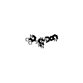 Clc1nccc(Sc2cnc(N3CCC4(CC3)Cc3cccnc3C4)n3cnnc23)c1Cl